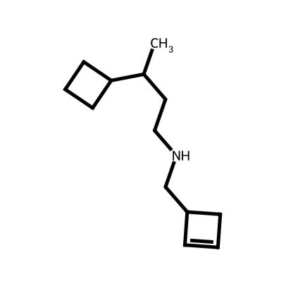 CC(CCNCC1C=CC1)C1CCC1